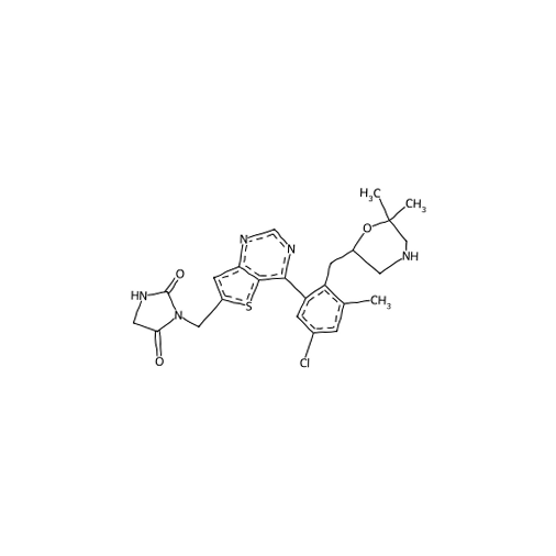 Cc1cc(Cl)cc(-c2ncnc3cc(CN4C(=O)CNC4=O)sc23)c1CC1CNCC(C)(C)O1